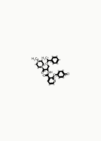 CC(OCC(NC(=O)c1cccnc1Oc1ccc(Cl)cc1)C(=O)N1CCN(C)CC1)c1ccccc1